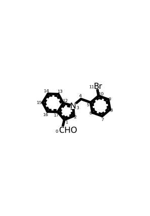 O=Cc1cn(Cc2ccccc2Br)c2ccccc12